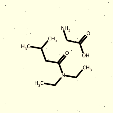 CCN(CC)C(=O)CC(C)C.NCC(=O)O